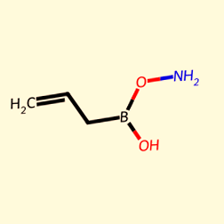 C=CCB(O)ON